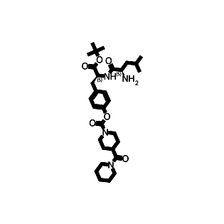 CC(C)C[C@H](N)C(=O)N[C@@H](Cc1ccc(OC(=O)N2CCC(C(=O)N3CCCCC3)CC2)cc1)C(=O)OC(C)(C)C